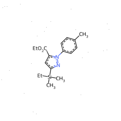 CCOC(=O)c1cc([Si](C)(C)CC)nn1-c1ccc(C)cc1